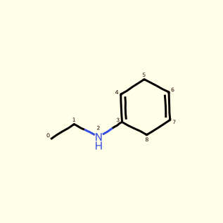 CCNC1=CCC=CC1